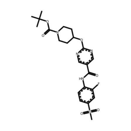 CC(C)(C)OC(=O)N1CCC(Oc2ncc(C(=O)Nc3ccc(S(C)(=O)=O)cc3F)cn2)CC1